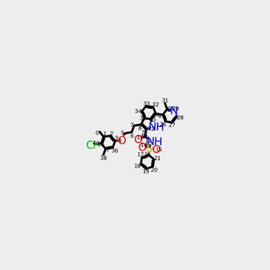 Cc1cc(OCCCc2c(C(=O)NS(=O)(=O)c3ccccc3)[nH]c3c(-c4cccnc4C)cccc23)cc(C)c1Cl